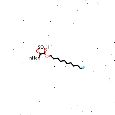 CCCCCCC(OS(=O)(=O)O)C(=O)OCCCCCCCCCCF